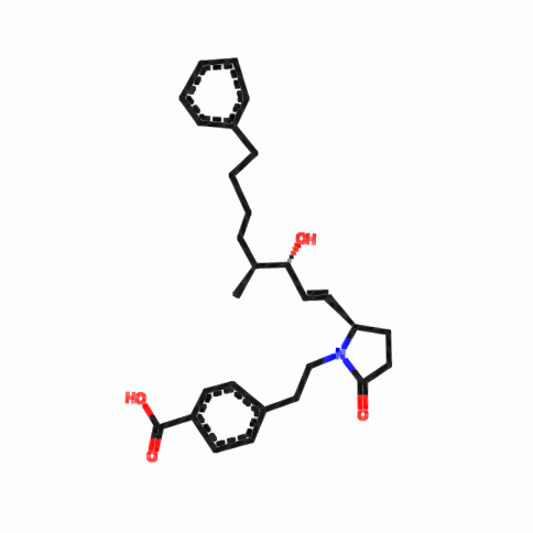 C[C@@H](CCCCc1ccccc1)[C@H](O)C=C[C@H]1CCC(=O)N1CCc1ccc(C(=O)O)cc1